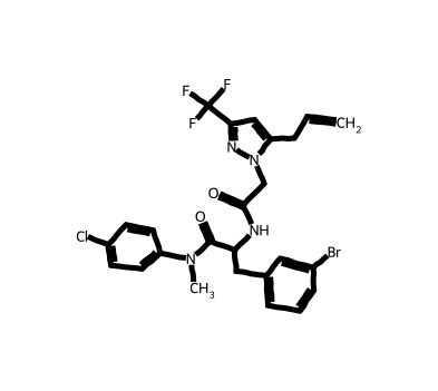 C=CCc1cc(C(F)(F)F)nn1CC(=O)NC(Cc1cccc(Br)c1)C(=O)N(C)c1ccc(Cl)cc1